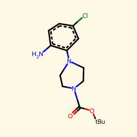 CC(C)(C)OC(=O)N1CCN(c2cc(Cl)ccc2N)CC1